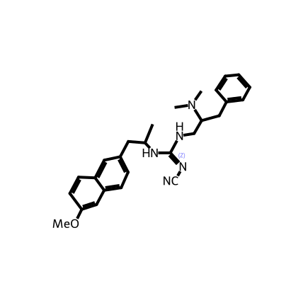 COc1ccc2cc(CC(C)N/C(=N\C#N)NCC(Cc3ccccc3)N(C)C)ccc2c1